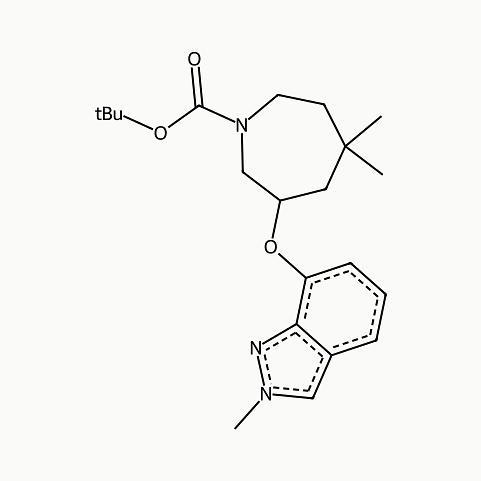 Cn1cc2cccc(OC3CN(C(=O)OC(C)(C)C)CCC(C)(C)C3)c2n1